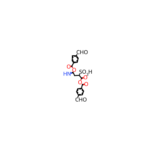 N=C(CC(C(=O)OC(=O)c1ccc(C=O)cc1)S(=O)(=O)O)OC(=O)c1ccc(C=O)cc1